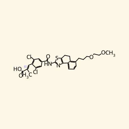 COCCOCCCc1cccc2c1CCc1sc(NC(=O)c3cc(Cl)c(/C=C(\C)C(=O)O)c(Cl)c3)nc1-2